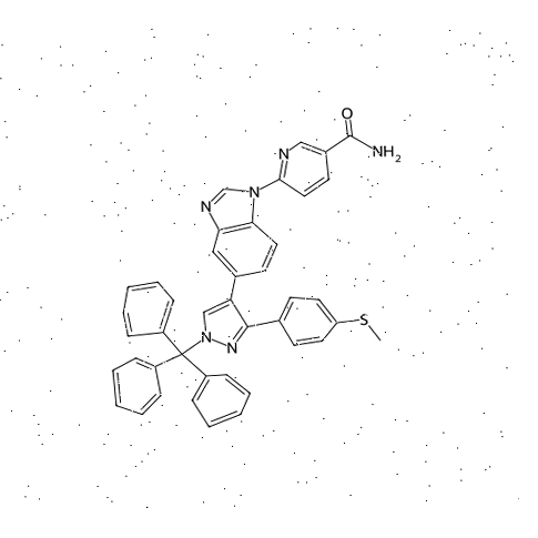 CSc1ccc(-c2nn(C(c3ccccc3)(c3ccccc3)c3ccccc3)cc2-c2ccc3c(c2)ncn3-c2ccc(C(N)=O)cn2)cc1